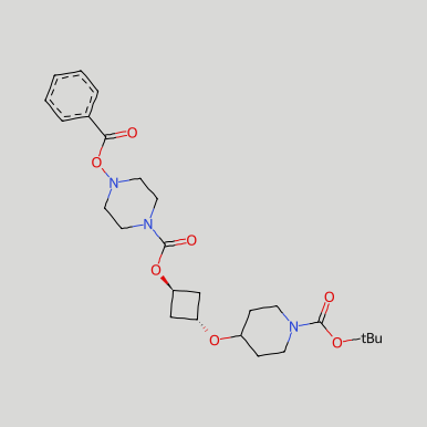 CC(C)(C)OC(=O)N1CCC(O[C@H]2C[C@H](OC(=O)N3CCN(OC(=O)c4ccccc4)CC3)C2)CC1